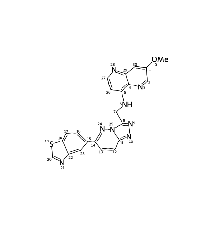 COc1cnc2c(NCc3nnc4ccc(-c5ccc6scnc6c5)nn34)ccnc2c1